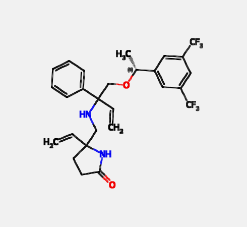 C=CC1(CNC(C=C)(CO[C@H](C)c2cc(C(F)(F)F)cc(C(F)(F)F)c2)c2ccccc2)CCC(=O)N1